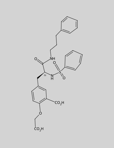 O=C(O)COc1ccc(C[C@H](NS(=O)(=O)c2ccccc2)C(=O)NCCCc2ccccc2)cc1C(=O)O